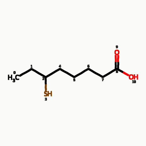 CCC(S)CCCCC(=O)O